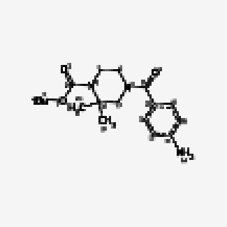 CC(C)(C)OC(=O)N1CCN(C(=O)c2ccc(N)cc2)CC1(C)C